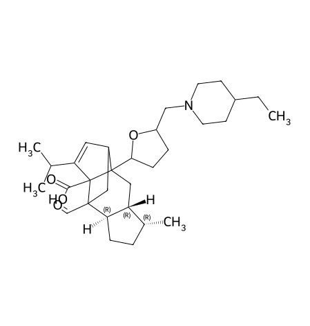 CCC1CCN(CC2CCC(C34C[C@@H]5[C@H](C)CC[C@H]5C5(C=O)CC3C=C(C(C)C)C45C(=O)O)O2)CC1